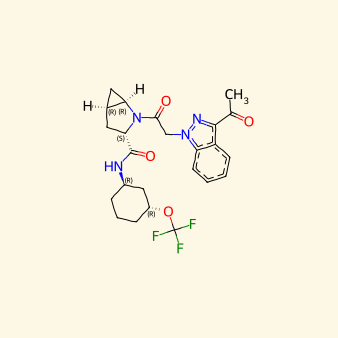 CC(=O)c1nn(CC(=O)N2[C@@H]3C[C@@H]3C[C@H]2C(=O)N[C@@H]2CCC[C@@H](OC(F)(F)F)C2)c2ccccc12